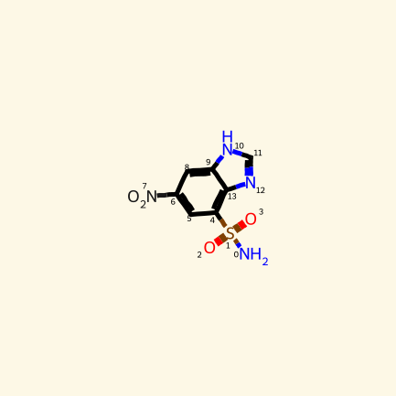 NS(=O)(=O)c1cc([N+](=O)[O-])cc2[nH]cnc12